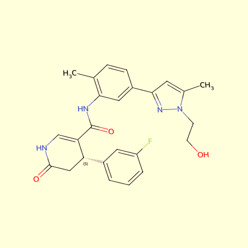 Cc1ccc(-c2cc(C)n(CCO)n2)cc1NC(=O)C1=CNC(=O)C[C@H]1c1cccc(F)c1